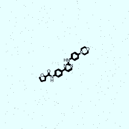 O=C(Nc1ccc(-c2ccnc(Nc3ccc(N4CCOCC4)cc3)n2)cc1)C1CCCO1